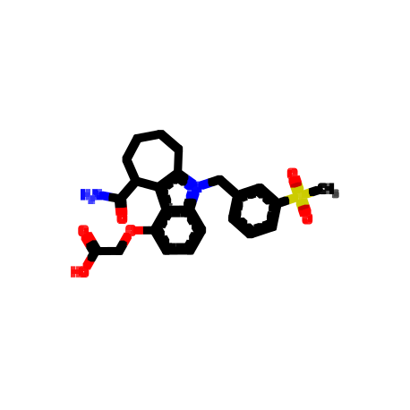 CS(=O)(=O)c1cccc(Cn2c3c(c4c(OCC(=O)O)cccc42)C(C(N)=O)CCCC3)c1